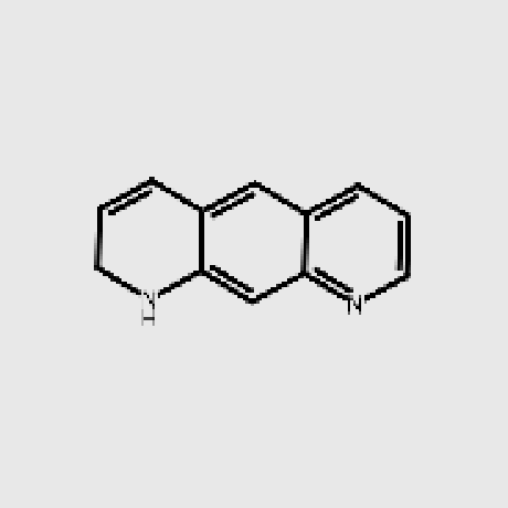 C1=Cc2cc3cccnc3cc2NC1